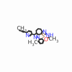 CCC#Cc1ccc(-c2nn(-c3ccccc3C)c3c2CCCc2nc(NC(C)=O)sc2-3)cn1